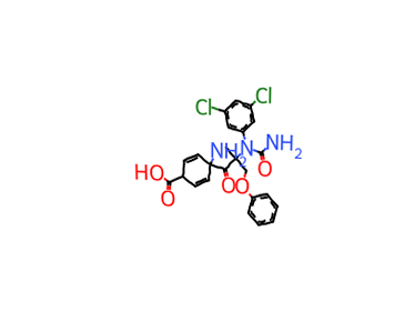 CC(COc1ccccc1)(C(=O)C1(N)C=CC(C(=O)O)C=C1)N(C(N)=O)c1cc(Cl)cc(Cl)c1